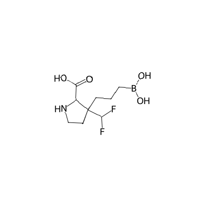 O=C(O)C1NCCC1(CCCB(O)O)C(F)F